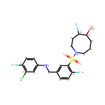 O=S(=O)(c1cc(CNc2ccc(F)c(Cl)c2)ccc1F)N1CCCC(O)C(F)CC1